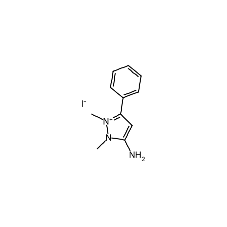 Cn1c(N)cc(-c2ccccc2)[n+]1C.[I-]